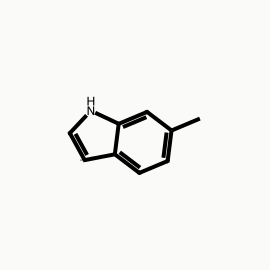 Cc1ccc2[c]c[nH]c2c1